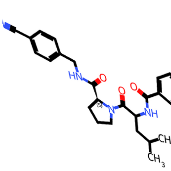 CC(C)CC(NC(=O)c1ccccc1)C(=O)N1CCC[C@H]1C(=O)NCc1ccc(C#N)cc1